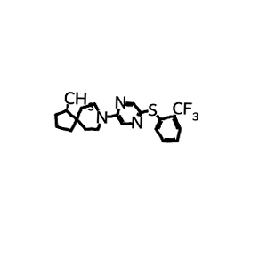 C[C@@H]1CCCC12CCN(c1cnc(Sc3ccccc3C(F)(F)F)cn1)CC2